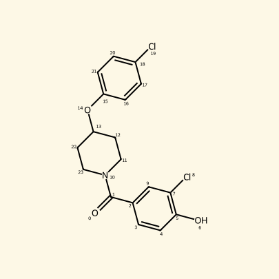 O=C(c1ccc(O)c(Cl)c1)N1CCC(Oc2ccc(Cl)cc2)CC1